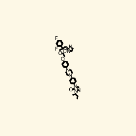 CCC(C)n1ncn(-c2ccc(N3CCN(c4ccc(OCC5OCC(Cn6nccn6)(c6ccc(F)cc6F)O5)cc4)CC3)cc2)c1=O